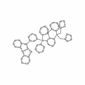 c1ccc([Si](c2ccccc2)(c2cccc(-n3c4ccccc4n4c5ccccc5nc34)c2)c2cccc3c2Oc2ccccc2C3(Cn2cccc2)Cn2cccc2)cc1